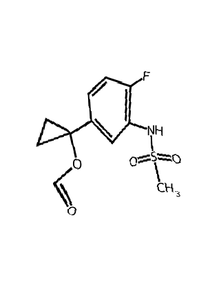 CS(=O)(=O)Nc1cc(C2(OC=O)CC2)ccc1F